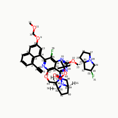 C#Cc1cccc2cc(OCOC)cc(-c3nc4c5c(nc(OC[C@]67CCCN6C[C@@H](F)C7)nc5c3F)N3C[C@H]5CC[C@@H]([C@H]3CO4)N5C(=O)OC(C)(C)C)c12